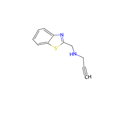 C#CCNCc1nc2ccccc2s1